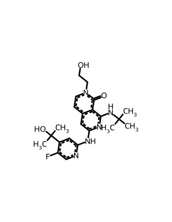 CC(C)(C)Nc1nc(Nc2cc(C(C)(C)O)c(F)cn2)cc2ccn(CCO)c(=O)c12